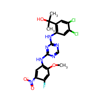 COc1cc(F)c([N+](=O)[O-])cc1Nc1ncnc(Nc2cc(Cl)c(Cl)cc2C(C)(C)O)n1